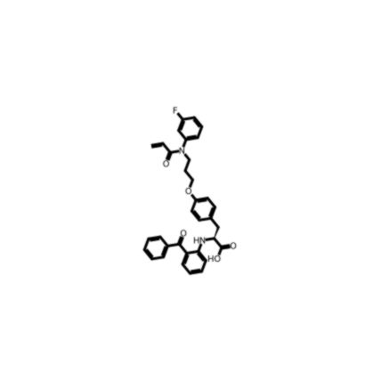 C=CC(=O)N(CCCOc1ccc(C[C@H](Nc2ccccc2C(=O)c2ccccc2)C(=O)O)cc1)c1cccc(F)c1